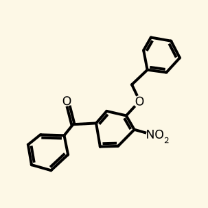 O=C(c1ccccc1)c1ccc([N+](=O)[O-])c(OCc2ccccc2)c1